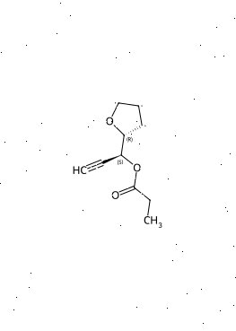 C#C[C@H](OC(=O)CC)[C@H]1[CH][CH][CH]O1